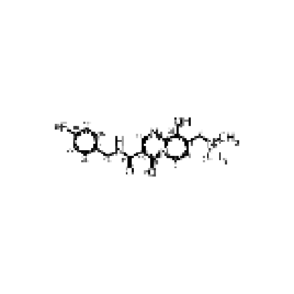 CN(C)Cc1ccn2c(=O)c(C(=O)NCc3ccc(F)cc3)cnc2c1O